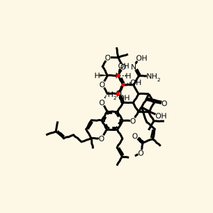 COC(=O)/C(C)=C\CC1(O)C(=O)C2CC(C(C)C)C13Oc1c(CC=C(C)C)c4c(c(O[C@@H]5O[C@@H]6COC(C)(C)O[C@H]6[C@H](O)[C@H]5O)c1C(=O)C3C2C(/C(N)=N/O)/C(N)=N\O)C=CC(C)(CCC=C(C)C)O4